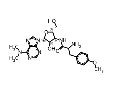 COc1ccc(CC(N)C(=O)N[C@H]2[C@@H](O)[C@H](n3cnc4c(N(C)C)ncnc43)O[C@@H]2CO)cc1